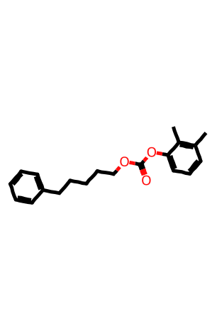 Cc1cccc(OC(=O)OCCCCCc2ccccc2)c1C